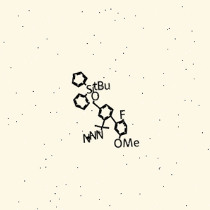 COc1ccc(F)c(-c2ccc(CO[Si](c3ccccc3)(c3ccccc3)C(C)(C)C)cc2C(C)(C)N=[N+]=[N-])c1